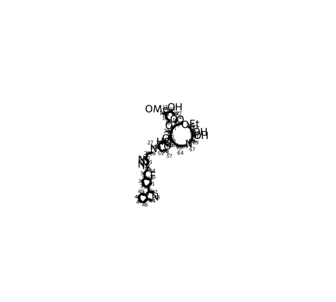 CC[C@H]1OC(=O)[C@H](C)[C@@H](O[C@H]2C[C@@](C)(OC)[C@@H](O)[C@H](C)O2)[C@H](C)[C@@H](O[C@H]2C[C@@H](N(C)CCc3cn([C@H](CF)Cc4ccc(-c5cncc6ccccc56)cc4)nn3)C[C@@H](C)O2)[C@](C)(O)C[C@@H](C)CN(C)[C@H](C)[C@@H](O)[C@]1(C)O